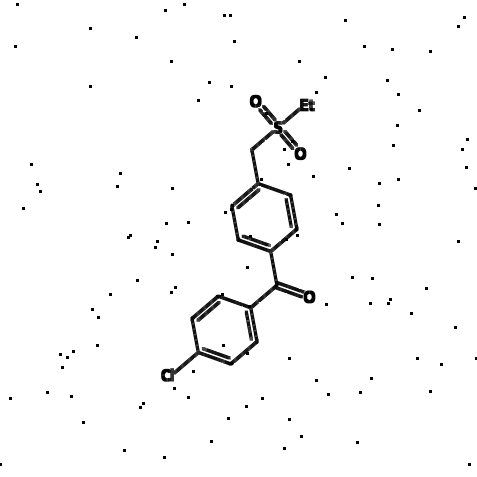 CCS(=O)(=O)Cc1ccc(C(=O)c2ccc(Cl)cc2)cc1